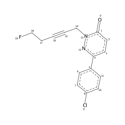 O=c1ccc(-c2ccc(Cl)cc2)nn1CC#CCCF